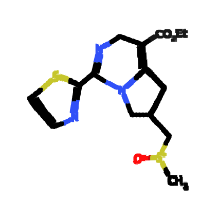 CCOC(=O)C1=C2CC(C[S+](C)[O-])CN2C(c2nccs2)=NC1